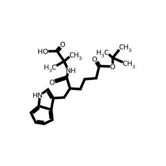 CC(C)(C)OC(=O)CCCC(Cc1c[nH]c2ccccc12)C(=O)NC(C)(C)C(=O)O